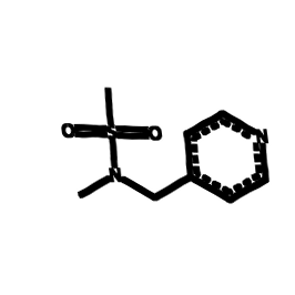 CN(Cc1ccncc1)S(C)(=O)=O